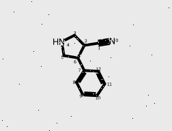 N#CC1CNCC1c1ccccc1